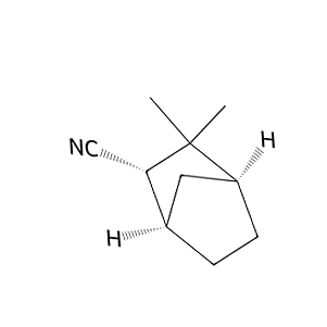 CC1(C)[C@H]2CC[C@H](C2)[C@@H]1C#N